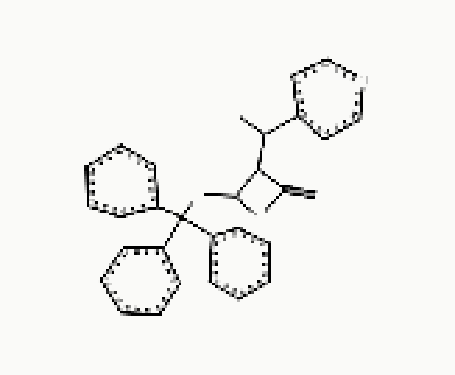 O=C1NC(SC(c2ccccc2)(c2ccccc2)c2ccccc2)C1C(O)c1ccncc1